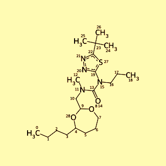 CCCCC1CCCOC(CN(C)C(=O)N(CCC)c2nnc(C(C)(C)C)s2)O1